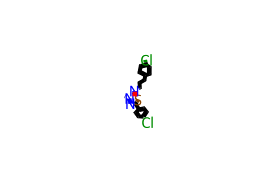 Cn1nc(-c2ccc(Cl)cc2)sc1=NCCCc1ccc(Cl)cc1